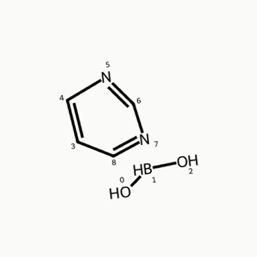 OBO.c1cncnc1